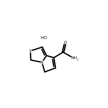 Cl.NC(=O)C1=CCN2CSC=C12